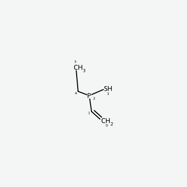 C=CP(S)CC